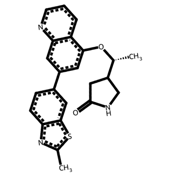 Cc1nc2ccc(-c3cc(O[C@H](C)C4CNC(=O)C4)c4cccnc4c3)cc2s1